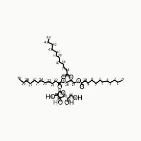 CCCCCCCCCCCC(=O)OCC(COC(=O)CCCCCCCCCCC)OC(=O)CCCCCCCCCCC.OCC(O)[C@H]1OC[C@H](O)[C@H]1O